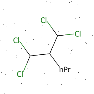 CCCC(C(Cl)Cl)C(Cl)Cl